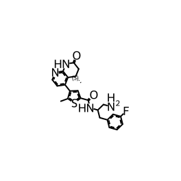 Cc1sc(C(=O)NC(CN)Cc2cccc(F)c2)cc1-c1ccnc2c1[C@@H](C)CC(=O)N2